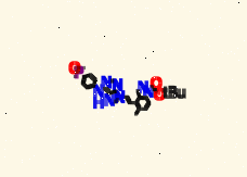 Cc1ccc2c(cnn2C(=O)OC(C)(C)C)c1C=Cn1cnc2c(Nc3ccc(P(C)(C)=O)cc3)ncnc21